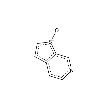 [O-][s+]1ccc2ccncc21